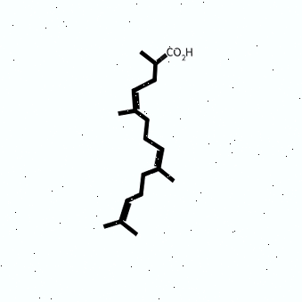 CC(C)=CCCC(C)=CCCC(C)=CCC(C)C(=O)O